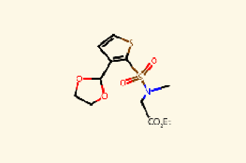 CCOC(=O)CN(C)S(=O)(=O)c1sccc1C1OCCO1